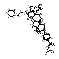 C=C(C)[C@@H]1CC[C@]2(CNCCN3CCCCC3)CC[C@]3(C)[C@H](CC[C@@H]4[C@@]5(C)CC=C(c6ccc(C(=O)OC(C)C)cc6)C(C)(C)[C@@H]5CC[C@]43C)[C@@H]12